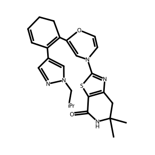 CC(C)Cn1cc(C2=C(C3=CN(c4nc5c(s4)C(=O)NC(C)(C)C5)C=CO3)CCC=C2)cn1